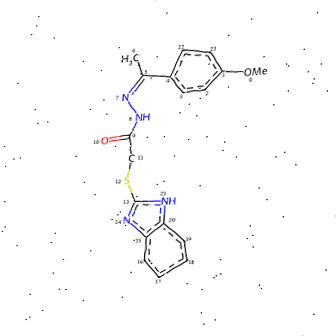 COc1ccc(/C(C)=N\NC(=O)CSc2nc3ccccc3[nH]2)cc1